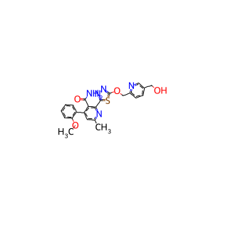 COc1ccccc1-c1cc(C)nc(-c2nnc(OCc3ccc(CO)cn3)s2)c1C(N)=O